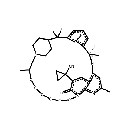 Cc1nc2c3cc(C4(C#N)CC4)c(=O)n(c3n1)CCCCCCC(C)N1CCC(CC1)C(F)(F)c1cccc(c1F)[C@@H](C)N2